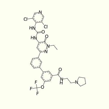 CCn1nc(-c2cccc(-c3cc(OC(F)(F)F)cc(C(=O)NCCN4CCCC4)c3)c2)cc(NC(=O)Nc2c(Cl)cncc2Cl)c1=O